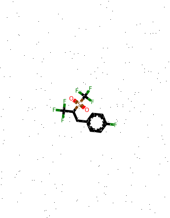 O=S(=O)(C(Cc1ccc(F)cc1)C(F)(F)F)C(F)(F)F